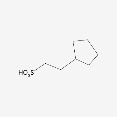 O=S(=O)(O)CCC1CCCC1